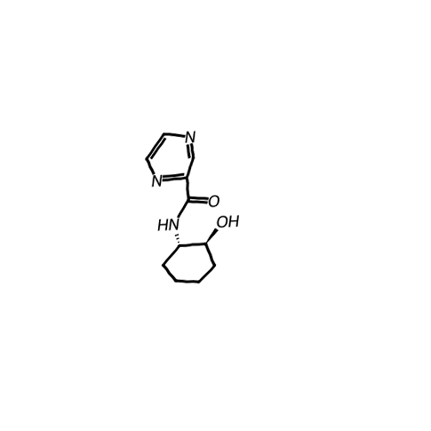 O=C(N[C@H]1CCCC[C@@H]1O)c1cnccn1